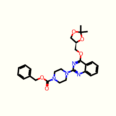 CC1(C)OC[C@H](COc2nc(N3CCN(C(=O)OCc4ccccc4)CC3)nc3ccccc23)O1